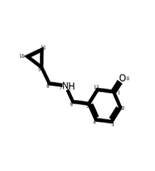 O=C1C=CC=C(CNCC2CC2)C1